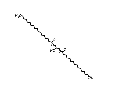 CCCCCCCCC=CCCCCCCCC(=O)OCC(O)COC(=O)CCCCCCCCCCCCCCC